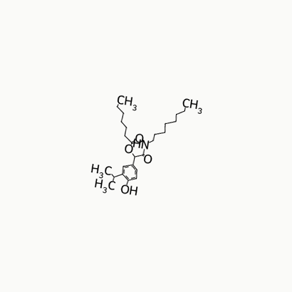 CCCCCCCCNC(=O)C(OC(=O)CCCCCC)c1ccc(O)c(C(C)C)c1